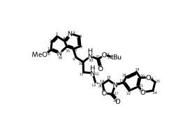 COc1ccc2nccc(CC(CNC[C@@H]3CN(c4ccc5c(c4)OCCO5)C(=O)O3)NC(=O)OC(C)(C)C)c2n1